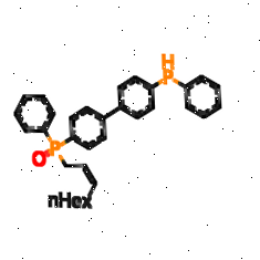 CCCCCC/C=C\CP(=O)(c1ccccc1)c1ccc(-c2ccc(Pc3ccccc3)cc2)cc1